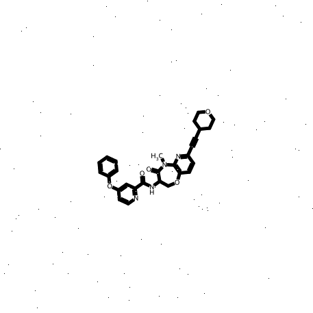 CN1C(=O)C(NC(=O)c2cc(Oc3ccccc3)ccn2)COc2ccc(C#CC3CCOCC3)nc21